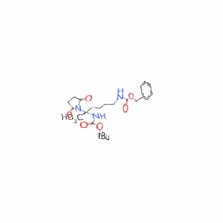 CC(C)(C)OC(=O)N[C@](CCCCNC(=O)OCc1ccccc1)(C(=O)O)N1C(=O)CCC1=O